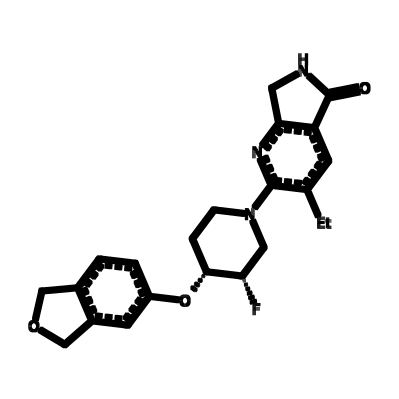 CCc1cc2c(nc1N1CC[C@@H](Oc3ccc4c(c3)COC4)[C@@H](F)C1)CNC2=O